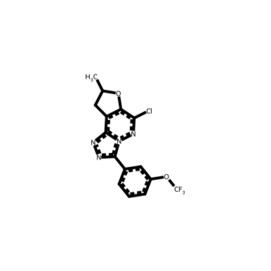 CC1Cc2c(c(Cl)nn3c(-c4cccc(OC(F)(F)F)c4)nnc23)O1